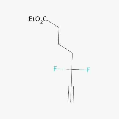 C#CC(F)(F)CCCC(=O)OCC